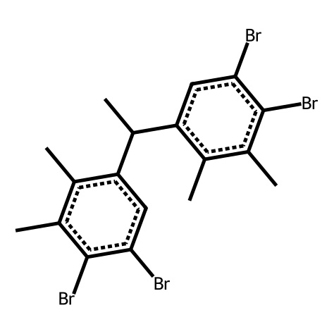 Cc1c(C(C)c2cc(Br)c(Br)c(C)c2C)cc(Br)c(Br)c1C